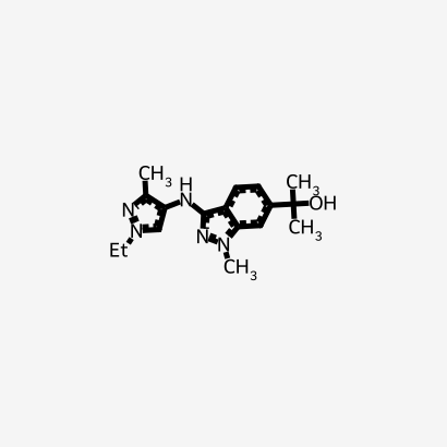 CCn1cc(Nc2nn(C)c3cc(C(C)(C)O)ccc23)c(C)n1